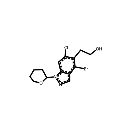 OCCc1c(Cl)cc2c(cnn2C2CCCCO2)c1Br